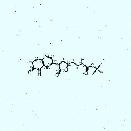 CC(C)(C)OC(=O)NCC[C@@H]1CN(c2cnc3c(n2)NC(=O)CO3)C(=O)O1